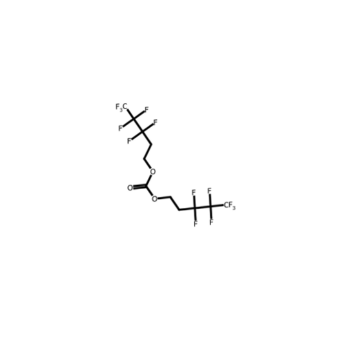 O=C(OCCC(F)(F)C(F)(F)C(F)(F)F)OCCC(F)(F)C(F)(F)C(F)(F)F